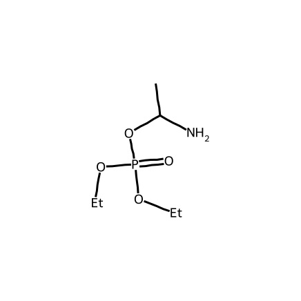 CCOP(=O)(OCC)OC(C)N